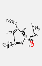 CCC=O.N#Cc1cccc(C=O)c1